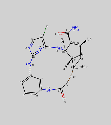 NC(=O)[C@H]1[C@H]2C[C@H]3[C@H]1Nc1nc(ncc1F)Nc1cccc(c1)NC(=O)CS[C@@H]3C2